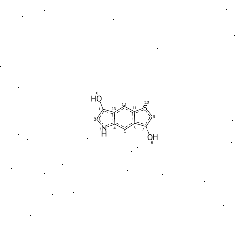 Oc1c[nH]c2cc3c(O)csc3cc12